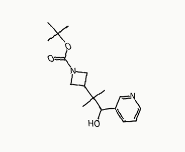 CC(C)(C)OC(=O)N1CC(C(C)(C)C(O)c2cccnc2)C1